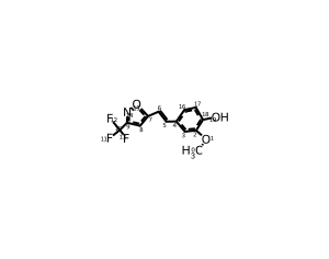 COc1cc(C=Cc2cc(C(F)(F)F)no2)ccc1O